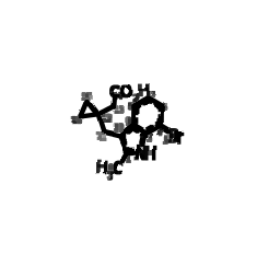 Cc1[nH]c2c(Br)cccc2c1CC1(CC(=O)O)CC1